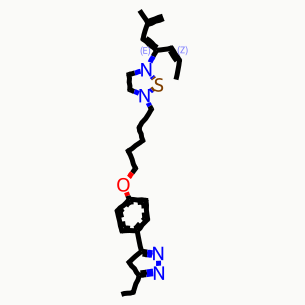 C=C(C)/C=C(\C=C/C)N1CCN(CCCCCOc2ccc(C3=NN=C(CC)C3)cc2)S1